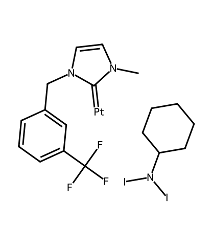 Cn1ccn(Cc2cccc(C(F)(F)F)c2)[c]1=[Pt].IN(I)C1CCCCC1